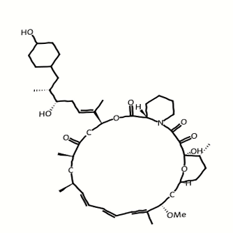 CO[C@H]1C[C@@H]2CC[C@@H](C)[C@@](O)(O2)C(=O)C(=O)N2CCCC[C@H]2C(=O)O[C@H](/C(C)=C/C[C@H](O)[C@H](C)CC2CCC(O)CC2)CC(=O)[C@H](C)C[C@H](C)/C=C/C=C/C=C/1C